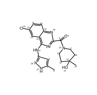 Cc1cc(Nc2nc(C(=O)N3CCC(C)(O)CC3)nc3ccc(Cl)cc23)n[nH]1